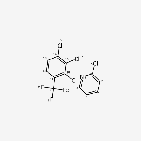 Clc1ccccn1.FC(F)(F)c1ccc(Cl)c(Cl)c1Cl